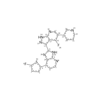 Fc1ccc(-c2ccnc3[nH]c(-c4n[nH]c5ncc(-c6cccnc6)c(F)c45)nc23)s1